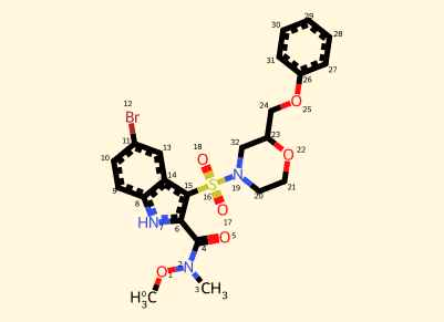 CON(C)C(=O)c1[nH]c2ccc(Br)cc2c1S(=O)(=O)N1CCOC(COc2ccccc2)C1